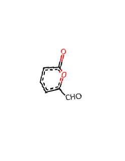 O=Cc1cccc(=O)o1